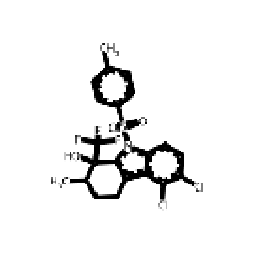 Cc1ccc(S(=O)(=O)n2c3c(c4c(Cl)c(Cl)ccc42)CCC(C)C3(O)C(F)(F)F)cc1